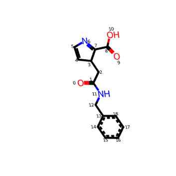 O=C(CC1C=CN=C1C(=O)O)NCc1ccccc1